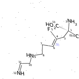 C[C@](N)(C/C(F)=C/CCNCC=N)C(=O)O